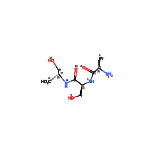 CC(C)[C@@H](N)C(=O)N[C@@H](CO)C(=O)N[C@@H](CO)C(=O)O